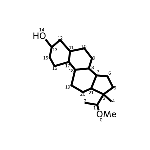 COC(C)C1(C)CCC2C3CCC4CC(O)CCC4C3CCC21